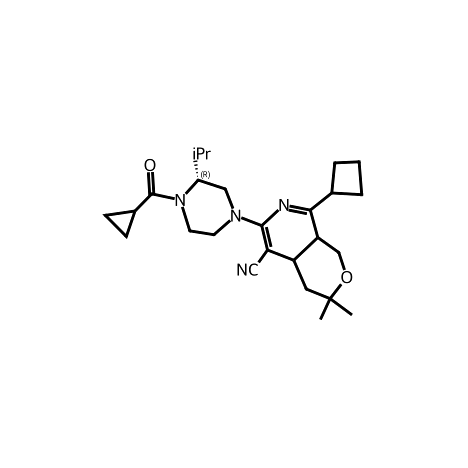 CC(C)[C@@H]1CN(C2=C(C#N)C3CC(C)(C)OCC3C(C3CCC3)=N2)CCN1C(=O)C1CC1